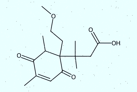 COCCC1(C(C)(C)CC(=O)O)C(=O)C=C(C)C(=O)C1C